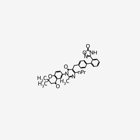 CCCc1nc(C)n(-c2ccc3c(c2)C(=O)CC(C)(C)O3)c(=O)c1Cc1ccc(-c2ccccc2-c2noc(=O)[nH]2)cc1